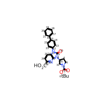 CC(C)(C)OC(=O)N1CC[C@H](n2c(=O)n(-c3ccc(-c4ccccc4)cc3)c3ccc(C(=O)O)nc32)C1